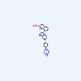 CN1CCN(c2ccc(-c3ccn4c(-c5cccc6ccc(O)nc56)cnc4c3)cc2)CC1